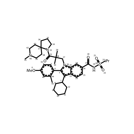 COc1ccc(-c2c(C3CCCCC3)c3ccc(C(=O)NS(=O)(=O)C(C)C)cc3n2CC(C)(C)C(=O)N2CCCC23CCN(C)CC3)c(C)c1